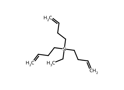 C=CCC[Si](CC)(CCC=C)CCC=C